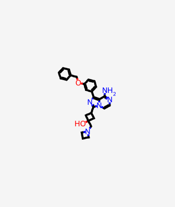 Nc1nccn2c(C3CC(O)(CN4CCC4)C3)nc(-c3cccc(OCc4ccccc4)c3)c12